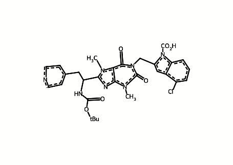 Cn1c(C(Cc2ccncc2)NC(=O)OC(C)(C)C)nc2c1c(=O)n(Cc1cc3c(Cl)cccc3n1C(=O)O)c(=O)n2C